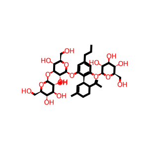 C=C(C)C1CCC(C)=C[C@H]1c1c(O[C@@H]2O[C@H](CO)[C@@H](O)[C@H](O)[C@H]2O)cc(CCC)cc1O[C@@H]1O[C@H](CO)[C@@H](O)[C@H](O[C@@H]2O[C@H](CO)[C@@H](O)[C@H](O)[C@H]2O)[C@H]1O